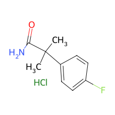 CC(C)(C(N)=O)c1ccc(F)cc1.Cl